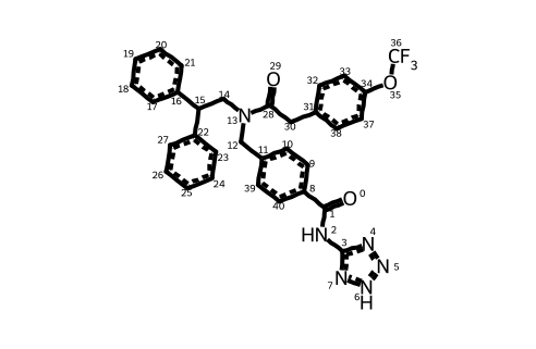 O=C(Nc1nn[nH]n1)c1ccc(CN(CC(c2ccccc2)c2ccccc2)C(=O)Cc2ccc(OC(F)(F)F)cc2)cc1